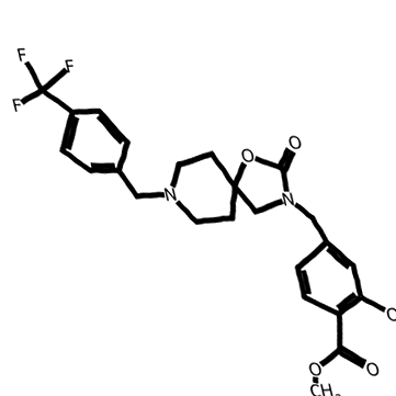 COC(=O)c1ccc(CN2CC3(CCN(Cc4ccc(C(F)(F)F)cc4)CC3)OC2=O)cc1O